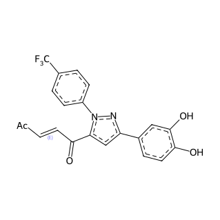 CC(=O)/C=C/C(=O)c1cc(-c2ccc(O)c(O)c2)nn1-c1ccc(C(F)(F)F)cc1